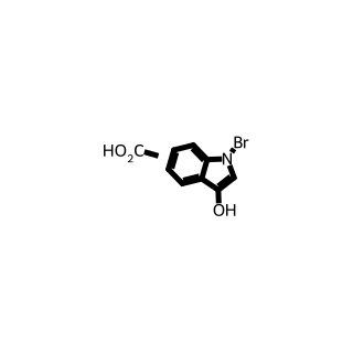 CC(=O)O.Oc1cn(Br)c2ccccc12